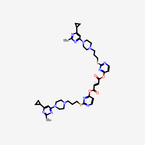 CC(C)(C)c1nc(C2CC2)cc(N2CCN(CCCSc3nccc(OC(=O)/C=C/C(=O)Oc4ccnc(SCCCN5CCN(c6cc(C7CC7)nc(C(C)(C)C)n6)CC5)n4)n3)CC2)n1